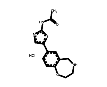 CC(=O)Nc1ncc(-c2ccc3c(c2)CNCCO3)s1.Cl